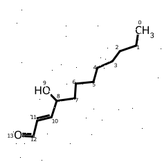 CCCCCCCCC(O)C=CC=O